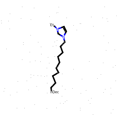 CCCCCCCCCCCCCCCCCCCCN1C=CN(CC)C1